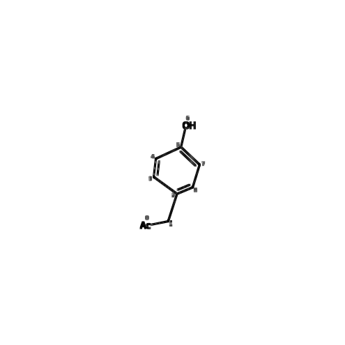 CC(=O)[CH]c1ccc(O)cc1